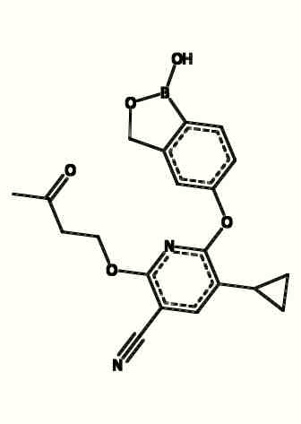 CC(=O)CCOc1nc(Oc2ccc3c(c2)COB3O)c(C2CC2)cc1C#N